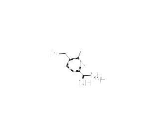 Cc1nc(C(=N)NO)ccc1CC(C)C